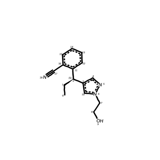 CC[C@H](c1cnn(CCO)c1)c1ccccc1C#N